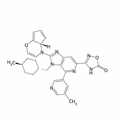 Cc1cncc(-c2nc(-c3noc(=O)[nH]3)cc3nc(N4C=COC5=CC=C[C@@H]54)n(C[C@H]4CC[C@H](C)CC4)c23)c1